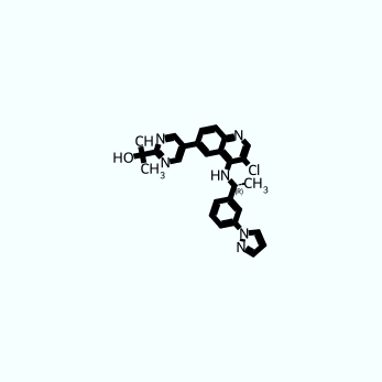 C[C@@H](Nc1c(Cl)cnc2ccc(-c3cnc(C(C)(C)O)nc3)cc12)c1cccc(-n2cccn2)c1